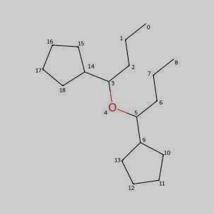 CCCC(OC(CCC)C1CCCC1)C1CCCC1